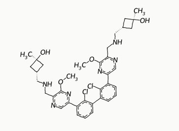 COc1nc(-c2cccc(-c3cccc(-c4cnc(CNC[C@H]5C[C@](C)(O)C5)c(OC)n4)c3Cl)c2Cl)cnc1CNC[C@H]1C[C@](C)(O)C1